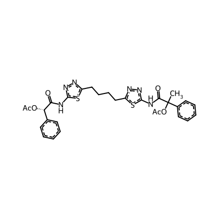 CC(=O)O[C@H](C(=O)Nc1nnc(CCCCc2nnc(NC(=O)C(C)(OC(C)=O)c3ccccc3)s2)s1)c1ccccc1